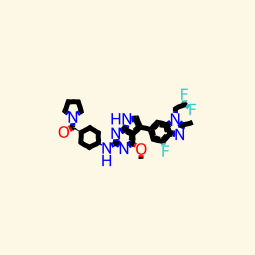 COc1nc(N[C@H]2CC[C@@H](C(=O)N3CCCC3)CC2)nc2[nH]cc(-c3cc(F)c4nc(C)n(CC(F)F)c4c3)c12